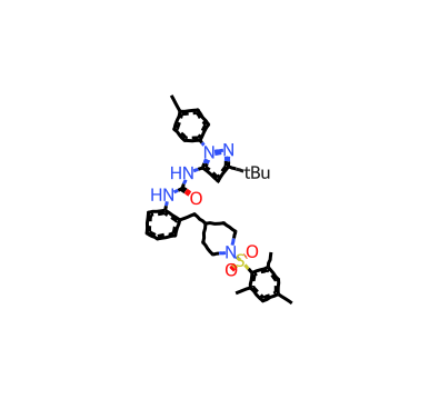 Cc1ccc(-n2nc(C(C)(C)C)cc2NC(=O)Nc2ccccc2CC2CCN(S(=O)(=O)c3c(C)cc(C)cc3C)CC2)cc1